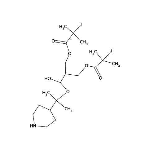 CC(C)(I)C(=O)OCC(COC(=O)C(C)(C)I)C(O)OC(C)(C)C1CCNCC1